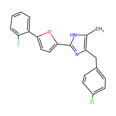 Cc1[nH]c(-c2ccc(-c3ccccc3F)o2)nc1Cc1ccc(Cl)cc1